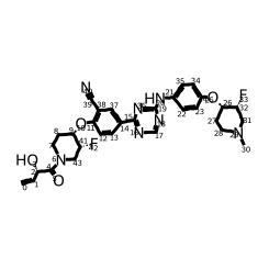 C=C[C@H](O)C(=O)N1CC[C@H](Oc2ccc(-c3ncnc(Nc4ccc(O[C@H]5CCN(C)C[C@H]5F)cc4)n3)cc2C#N)[C@H](F)C1